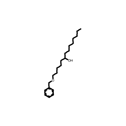 CCCCCCCCC(O)CCCCCOCc1ccccc1